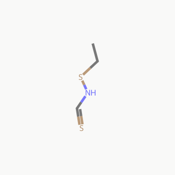 CCSNC=S